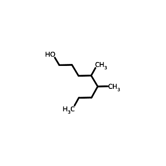 CCCC(C)C(C)CCCO